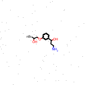 CCCCC(O)COc1cccc(C(O)CCN)c1